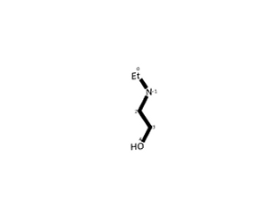 CC[N]CCO